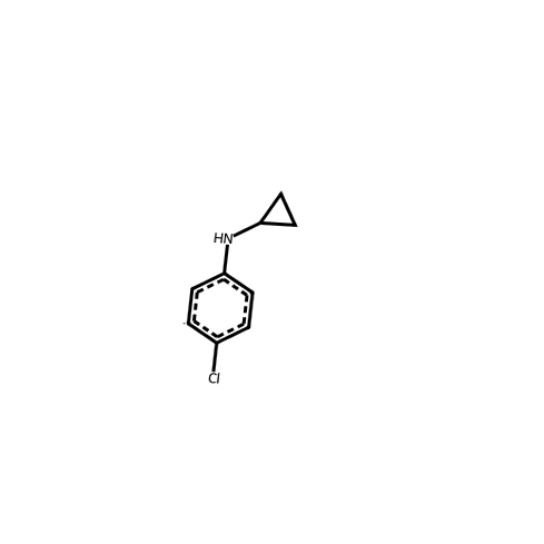 Clc1[c]cc(NC2CC2)cc1